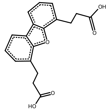 O=C(O)CCc1cccc2c1oc1c(CCC(=O)O)cccc12